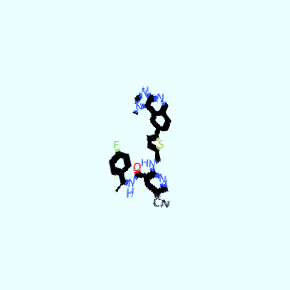 C[C@H](NC(=O)c1cc(C#N)cnc1NCc1ccc(-c2ccc3cnc4ncn(C)c4c3c2)s1)c1ccc(F)cc1